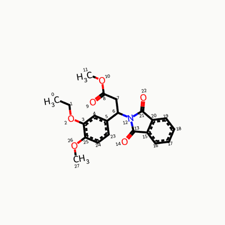 CCOc1cc(C(CC(=O)OC)N2C(=O)c3ccccc3C2=O)ccc1OC